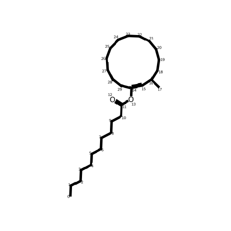 CCCCCCCCCCCC(=O)OC1=CC(C)CCCCCCCCCCCC1